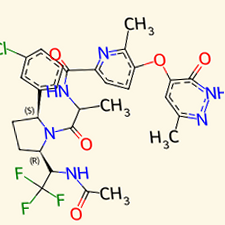 CC(=O)NC([C@H]1CC[C@@H](c2cccc(Cl)c2)N1C(=O)C(C)NC(=O)c1ccc(Oc2cc(C)n[nH]c2=O)c(C)n1)C(F)(F)F